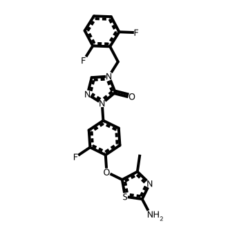 Cc1nc(N)sc1Oc1ccc(-n2ncn(Cc3c(F)cccc3F)c2=O)cc1F